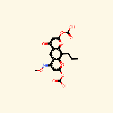 CCCc1c2oc(OC(=O)O)cc(=O)c2cc2c(=NOC)cc(OC(=O)O)oc12